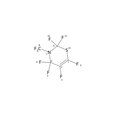 FC1=C(F)C(F)(F)N(C(F)(F)F)C(F)(F)S1